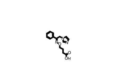 O=C(O)CCCO/N=C(\Cn1ccnc1)c1ccccc1